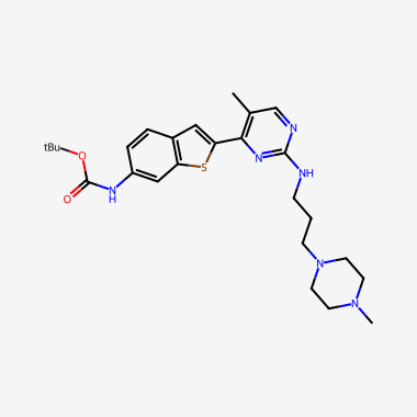 Cc1cnc(NCCCN2CCN(C)CC2)nc1-c1cc2ccc(NC(=O)OC(C)(C)C)cc2s1